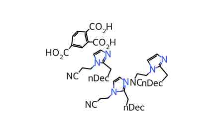 CCCCCCCCCCCc1nccn1CCC#N.CCCCCCCCCCCc1nccn1CCC#N.CCCCCCCCCCCc1nccn1CCC#N.O=C(O)c1ccc(C(=O)O)c(C(=O)O)c1